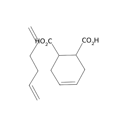 C=CCCC=C.O=C(O)C1CC=CCC1C(=O)O